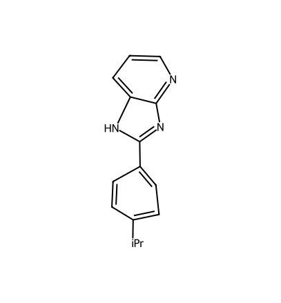 CC(C)c1ccc(-c2nc3ncccc3[nH]2)cc1